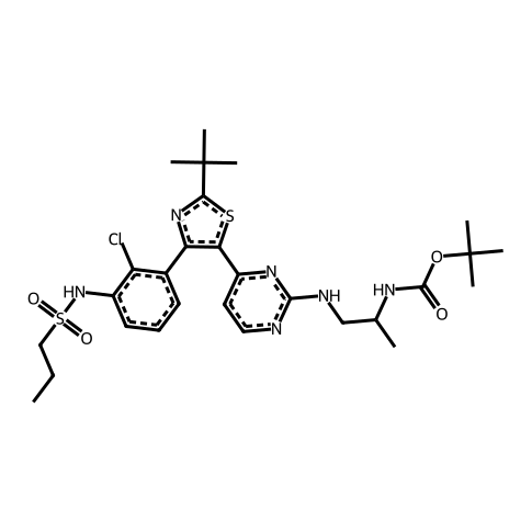 CCCS(=O)(=O)Nc1cccc(-c2nc(C(C)(C)C)sc2-c2ccnc(NCC(C)NC(=O)OC(C)(C)C)n2)c1Cl